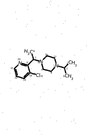 CC(C)N1CCN(C(C)c2ncccc2Cl)CC1